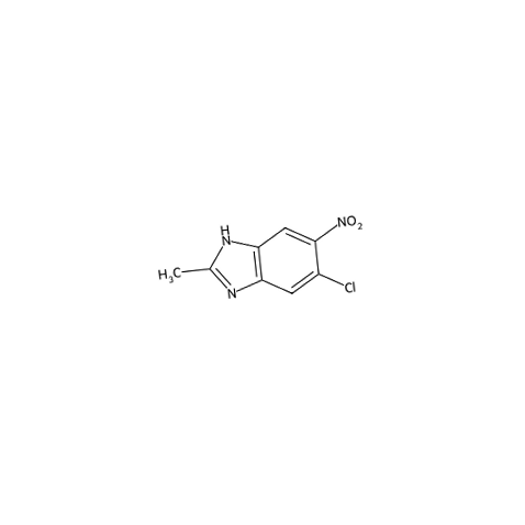 Cc1nc2cc(Cl)c([N+](=O)[O-])cc2[nH]1